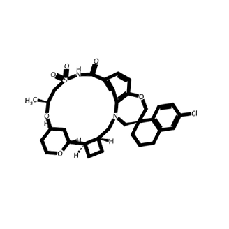 C[C@H]1CS(=O)(=O)NC(=O)c2ccc3c(c2)N(C[C@@H]2CC[C@H]2[C@H]2C[C@H](CCO2)O1)C[C@@]1(CCCc2cc(Cl)ccc21)CO3